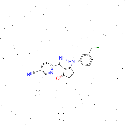 N#Cc1ccc(C(N)C2=C(Nc3cccc(CF)c3)CCC2=O)nc1